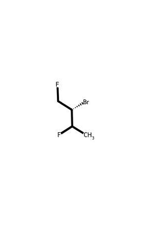 CC(F)[C@@H](Br)CF